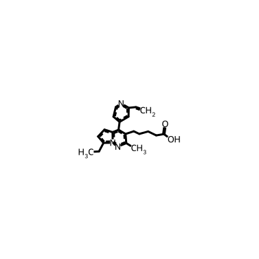 C=Cc1cc(-c2c(CCCCC(=O)O)c(C)nn3c(CC)ccc23)ccn1